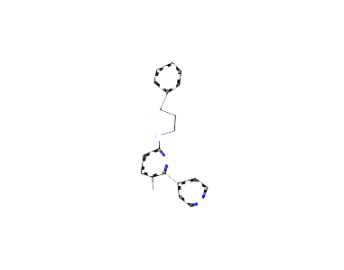 C[C@H](CNc1ccc(Br)c(-c2ccncc2)n1)[C@H](N)c1ccccc1